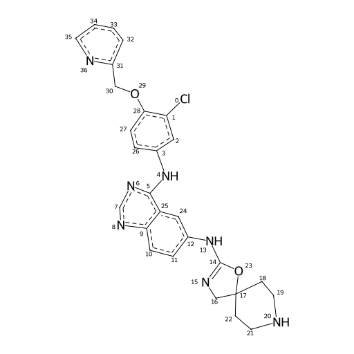 Clc1cc(Nc2ncnc3ccc(NC4=NCC5(CCNCC5)O4)cc23)ccc1OCc1ccccn1